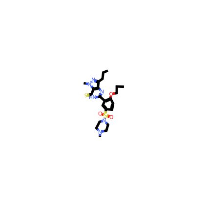 CCCOc1ccc(S(=O)(=O)N2CCN(C)CC2)cc1-c1nc2c(CCC)nn(C)c2c(=S)[nH]1